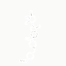 CO[C@H]1CC[C@H](CN2CCC(O)(c3ccc4c(c3)CN(C3CCC(=O)NC3=O)C4=O)CC2)CC1